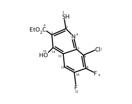 CCOC(=O)c1c(S)nc2c(Cl)c(F)c(F)cc2c1O